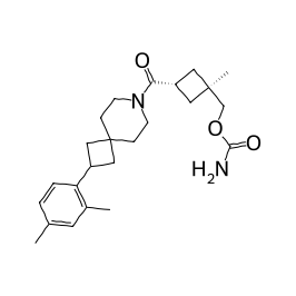 Cc1ccc(C2CC3(CCN(C(=O)[C@H]4C[C@](C)(COC(N)=O)C4)CC3)C2)c(C)c1